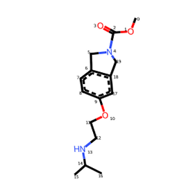 COC(=O)N1Cc2ccc(OCCNC(C)C)cc2C1